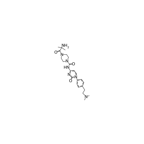 CN(C)CCc1ccc(-n2ccc(NC(=O)N3CCN(C(=O)C(C)(C)N)CC3)nc2=O)cc1